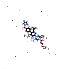 COCCC(=O)N1CCN(c2nc(C3CC3)c(-c3ccc(C(=O)N4CCCC4)cc3)c(C)c2N)CC1C